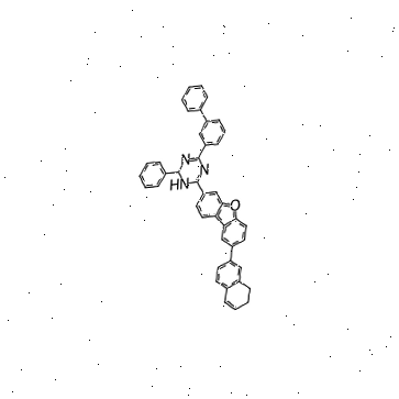 C1=Cc2ccc(-c3ccc4oc5cc(C6=NC(c7cccc(-c8ccccc8)c7)=NC(c7ccccc7)N6)ccc5c4c3)cc2CC1